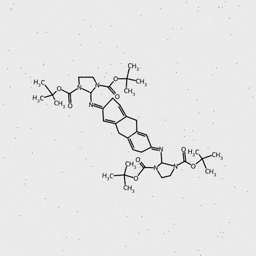 CC(C)(C)OC(=O)N1CCN(C(=O)OC(C)(C)C)C1N=C1C=C2CC3=CCC(=NC4N(C(=O)OC(C)(C)C)CCN4C(=O)OC(C)(C)C)C=C3CC2=CC1